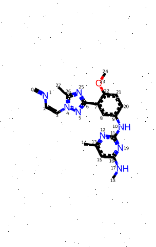 C=N/C=C\n1nc(-c2cc(Nc3nc(C)cc(NC)n3)ccc2OC)nc1C